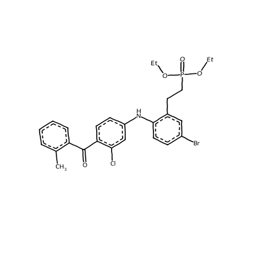 CCOP(=O)(CCc1cc(Br)ccc1Nc1ccc(C(=O)c2ccccc2C)c(Cl)c1)OCC